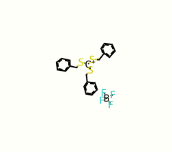 F[B-](F)(F)F.c1ccc(CS[C+](SCc2ccccc2)SCc2ccccc2)cc1